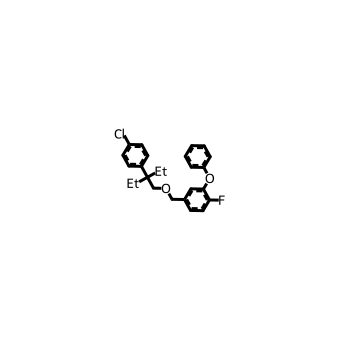 CCC(CC)(COCc1ccc(F)c(Oc2ccccc2)c1)c1ccc(Cl)cc1